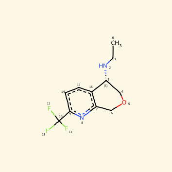 CCN[C@@H]1COCc2nc(C(F)(F)F)ccc21